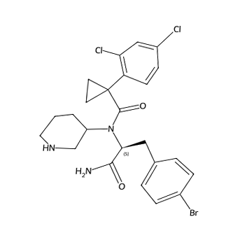 NC(=O)[C@H](Cc1ccc(Br)cc1)N(C(=O)C1(c2ccc(Cl)cc2Cl)CC1)C1CCCNC1